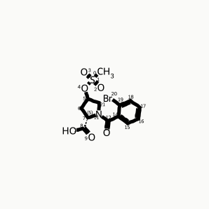 CS(=O)(=O)OC1C[C@@H](C(=O)O)N(C(=O)c2ccccc2Br)C1